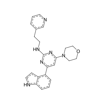 c1cncc(CCNc2nc(-c3cccc4[nH]ccc34)cc(N3CCOCC3)n2)c1